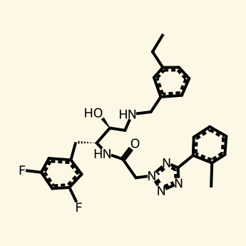 CCc1cccc(CNC[C@H](O)[C@@H](Cc2cc(F)cc(F)c2)NC(=O)Cn2nnc(-c3ccccc3C)n2)c1